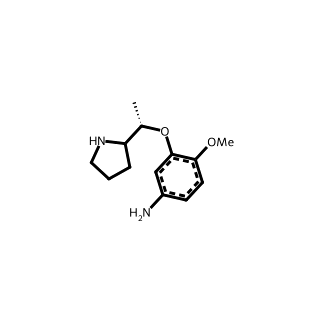 COc1ccc(N)cc1O[C@@H](C)C1CCCN1